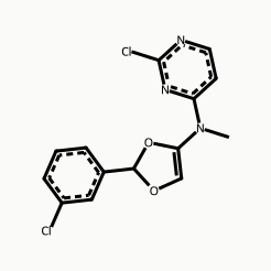 CN(C1=COC(c2cccc(Cl)c2)O1)c1ccnc(Cl)n1